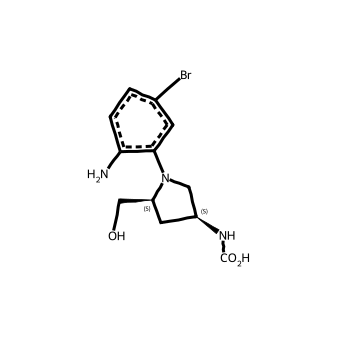 Nc1ccc(Br)cc1N1C[C@@H](NC(=O)O)C[C@H]1CO